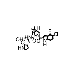 CC1(C)[C@@H]2[C@@H](C(=O)N[C@H](C=O)C[C@@H]3CCNC3=O)N(C(=O)c3cc4c(F)c(Cl)ccc4[nH]3)C[C@@H]21